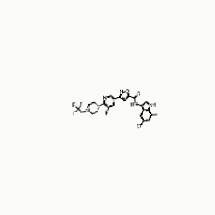 Cc1cc(Cl)cc2c(NC(=O)c3cc(-c4cnc(N5CCN(CC(F)(F)F)CC5)c(F)c4)no3)c[nH]c12